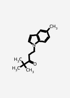 Cc1ccc2c(ccn2CCC(=O)C(C)(C)C)c1